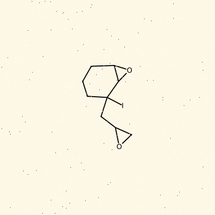 IC1(CC2CO2)CCCC2OC21